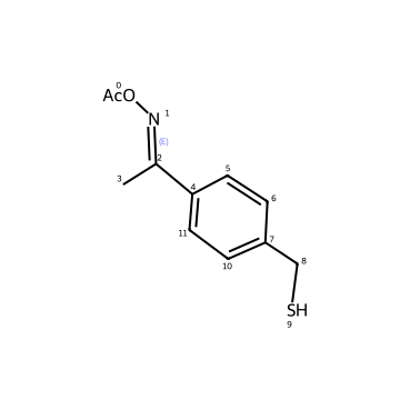 CC(=O)O/N=C(\C)c1ccc(CS)cc1